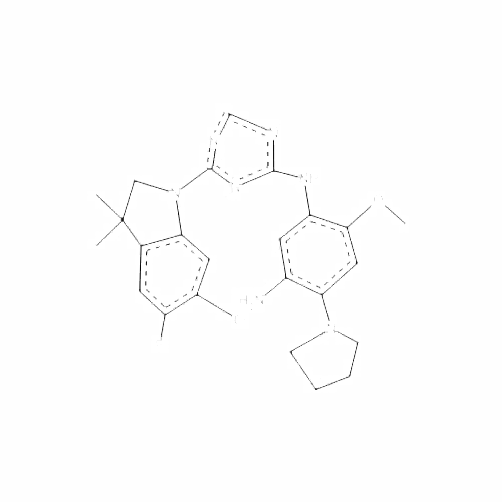 COc1cc(N2CCCC2)c(N)cc1Nc1ncnc(N2CC(C)(C)c3cc(F)c(Cl)cc32)n1